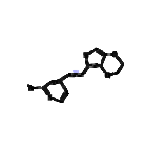 Brc1cc(/C=C/c2scc3c2OCCO3)ccn1